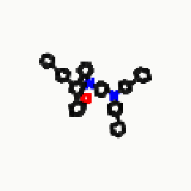 c1ccc(-c2ccc(-c3cc4c5ccccc5oc4c4c3c3ccccc3n4-c3ccc(N(c4ccc(-c5ccccc5)cc4)c4ccc(-c5ccccc5)cc4)cc3)cc2)cc1